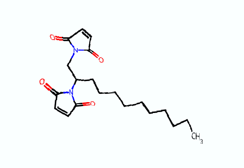 CCCCCCCCCCC(CN1C(=O)C=CC1=O)N1C(=O)C=CC1=O